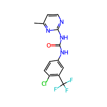 Cc1ccnc(NC(=O)Nc2ccc(Cl)c(C(F)(F)F)c2)n1